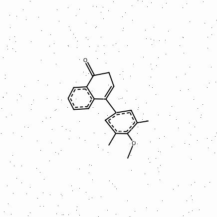 COc1c(C)cc(C2=CCC(=O)c3ccccc32)cc1C